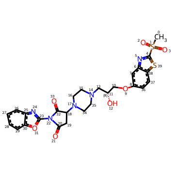 CS(=O)(=O)c1nc2cc(OC[C@H](O)CN3CCN(C4CC(=O)N(c5nc6ccccc6o5)C4=O)CC3)ccc2s1